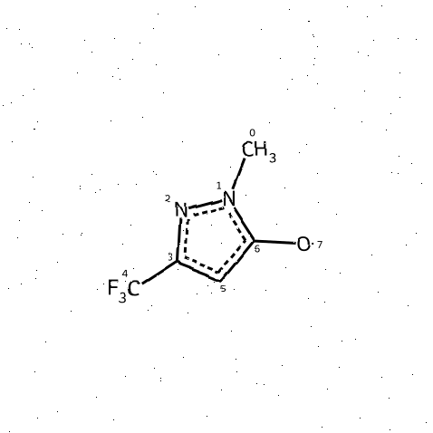 Cn1nc(C(F)(F)F)cc1[O]